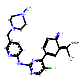 CN/C(=C1/C=C(c2nc(Nc3ccc(CN4CCN(C(C)C)CC4)cn3)ncc2F)C=CC1=N)C(C)C